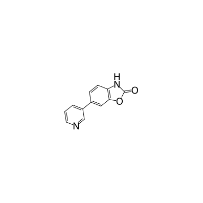 O=c1[nH]c2ccc(-c3cccnc3)cc2o1